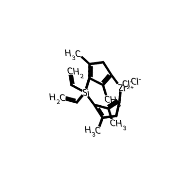 C=C[Si]1(C=C)C2=C(C)C[C](=C2C)[Zr+2][C]2=C(C)C1=C(C)C2.[Cl-].[Cl-]